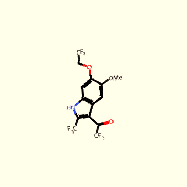 COc1cc2c(C(=O)C(F)(F)F)c(C(F)(F)F)[nH]c2cc1OCC(F)(F)F